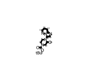 CC(C)(C)OC(=O)N1CCN(c2cnc3cccnn23)C(=O)C1